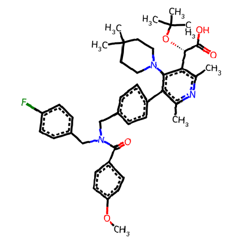 COc1ccc(C(=O)N(Cc2ccc(F)cc2)Cc2ccc(-c3c(C)nc(C)c([C@H](OC(C)(C)C)C(=O)O)c3N3CCC(C)(C)CC3)cc2)cc1